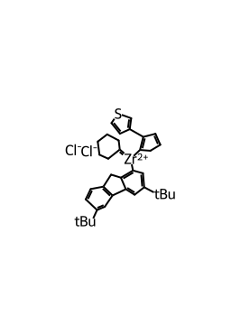 CC(C)(C)c1ccc2c(c1)-c1cc(C(C)(C)C)c[c]([Zr+2]([C]3=C(c4ccsc4)C=CC3)=[C]3CCCCC3)c1C2.[Cl-].[Cl-]